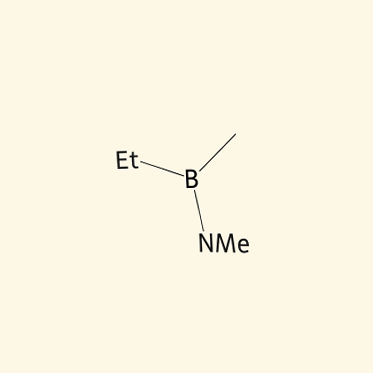 CCB(C)NC